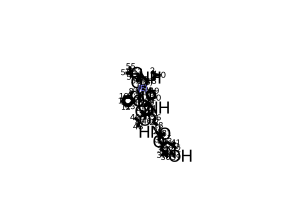 CC(C)C[C@@H](/C=C/[C@H](Cc1ccccc1)C(=O)N1CCC[C@H]1C(=O)N[C@@H](CCCNC(=O)OC1CC(C)(C)N(O)C(C)(C)C1)C(=O)OC(C)C)NC(=O)OC(C)(C)C